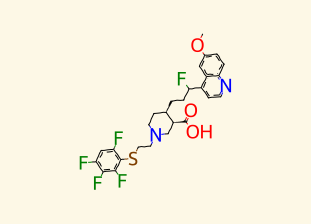 COc1ccc2nccc(C(F)CC[C@@H]3CCN(CCSc4c(F)cc(F)c(F)c4F)C[C@@H]3C(=O)O)c2c1